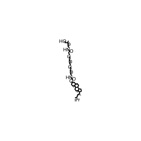 CC(C)CCC[C@@H](C)C1CCC2C3CC=C4C[C@@H](OC(=O)NCCOCCOCCOCCOCCC(=O)NCCOC(C)CO)CC[C@]4(C)C3CC[C@@]21C